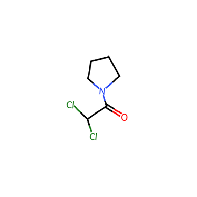 O=C(C(Cl)Cl)N1CCCC1